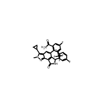 Cn1nc2c3c(c(-c4c(C(N)=O)cc(F)cc4C(F)(F)F)cc2c1C1CC1)C(c1cc(F)ccc1Cl)NC3=O